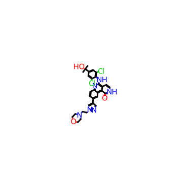 CC(C)(O)c1cc(Cl)c(Nc2nc3ccc(-c4cnn(CCN5CCOCC5)c4)cc3c3c(=O)[nH]ccc23)c(Cl)c1